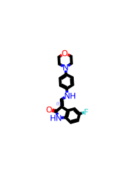 O=C1Nc2ccc(F)cc2/C1=C\Nc1ccc(N2CCOCC2)cc1